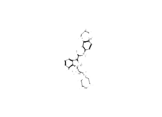 COc1cccc2c(C(=O)Nc3ccc4c(c3)OCCCO4)nn(CCN3CCOCC3)c12